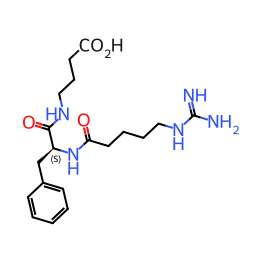 N=C(N)NCCCCC(=O)N[C@@H](Cc1ccccc1)C(=O)NCCCC(=O)O